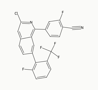 N#Cc1ccc(-c2nc(Cl)cc3ccc(-c4c(F)cccc4C(F)(F)F)cc23)cc1F